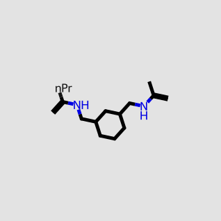 C=C(C)NCC1CCCC(CNC(=C)CCC)C1